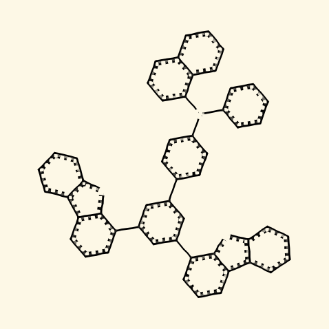 c1ccc(N(c2ccc(-c3cc(-c4cccc5c4oc4ccccc45)cc(-c4cccc5c4oc4ccccc45)c3)cc2)c2cccc3ccccc23)cc1